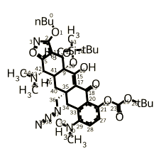 CCCCOc1noc2c1C(=O)[C@@]1(O[Si](C)(C)C(C)(C)C)C(O)=C3C(=O)c4c(OC(=O)OC(C)(C)C)ccc(N(C)C)c4C[C@@]3(CN=[N+]=[N-])C[C@H]1[C@@H]2N(C)C